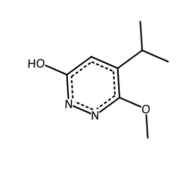 COc1nnc(O)cc1C(C)C